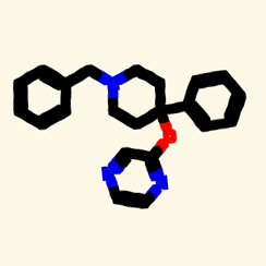 c1ccc(CN2CCC(Oc3cnccn3)(c3ccccc3)CC2)cc1